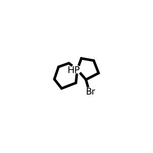 BrC1CCC[PH]12CCCCC2